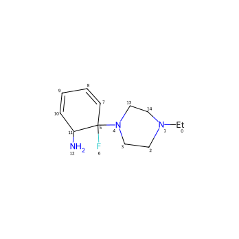 CCN1CCN(C2(F)C=CC=CC2N)CC1